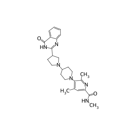 CNC(=O)c1cc(C)c(N2CCC(N3CCC(c4nc5ccccc5c(=O)[nH]4)C3)CC2)c(C)n1